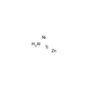 [AlH3].[Ni].[Ti].[Zn]